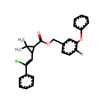 CC1(C)C(/C=C(\Br)c2ccccc2)C1C(=O)OCc1ccc(F)c(Oc2ccccc2)c1